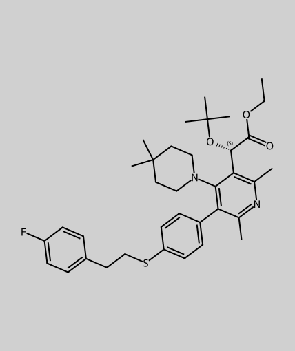 CCOC(=O)[C@@H](OC(C)(C)C)c1c(C)nc(C)c(-c2ccc(SCCc3ccc(F)cc3)cc2)c1N1CCC(C)(C)CC1